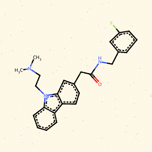 CN(C)CCn1c2ccccc2c2ccc(CC(=O)NCc3cccc(F)c3)cc21